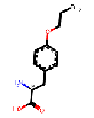 BCCOc1ccc(C[C@H](N)C(=O)O)cc1